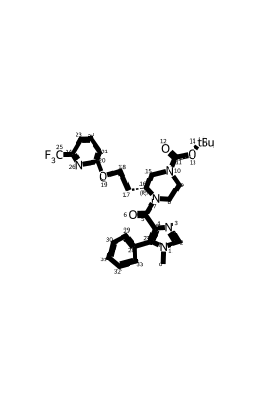 Cn1cnc(C(=O)N2CCN(C(=O)OC(C)(C)C)C[C@H]2CCOc2cccc(C(F)(F)F)n2)c1-c1ccccc1